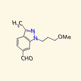 COCCCn1nc(C)c2ccc(C=O)cc21